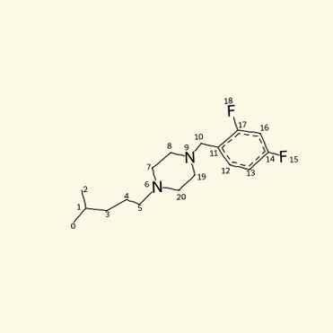 CC(C)CCCN1CCN(Cc2ccc(F)cc2F)CC1